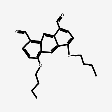 CCCCOc1ccc(C=O)c2cc3c(C=O)ccc(OCCCC)c3cc12